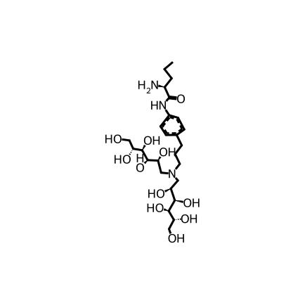 CCC[C@H](N)C(=O)Nc1ccc(CCCN(C[C@H](O)[C@@H](O)[C@H](O)[C@H](O)CO)C[C@H](O)[C@@H](O)[C@H](O)[C@H](O)CO)cc1